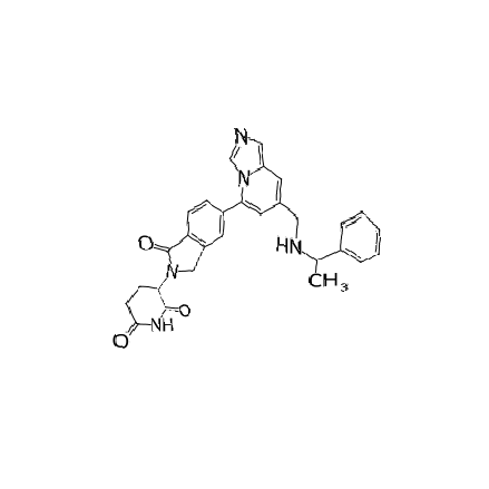 CC(NCc1cc(-c2ccc3c(c2)CN(C2CCC(=O)NC2=O)C3=O)n2cncc2c1)c1ccccc1